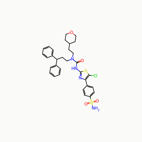 NS(=O)(=O)c1ccc(-c2nc(NC(=O)N(CCC3CCOCC3)CCC(c3ccccc3)c3ccccc3)sc2Cl)cc1